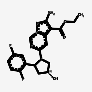 CCOC(=O)c1c(N)nn2cnc(N3C[C@H](O)CC3c3cc(F)ccc3F)cc12